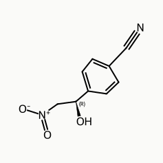 N#Cc1ccc([C@@H](O)C[N+](=O)[O-])cc1